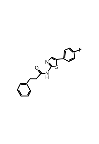 O=C(CCc1ccccc1)Nc1ncc(-c2ccc(F)cc2)s1